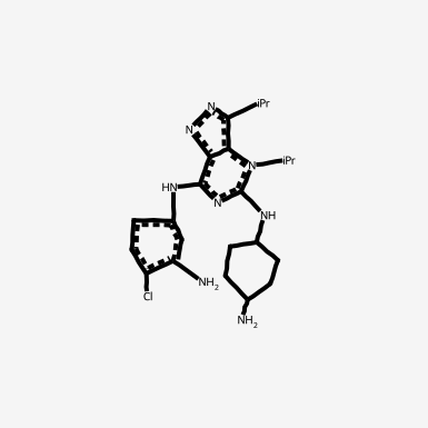 CC(C)c1nnc2c(Nc3ccc(Cl)c(N)c3)nc(NC3CCC(N)CC3)n(C(C)C)c1-2